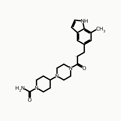 Cc1cc(C[CH]C(=O)N2CCN(C3CCN(C(N)=O)CC3)CC2)cc2cc[nH]c12